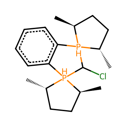 C[C@H]1CC[C@H](C)[PH]12c1ccccc1[PH]1(C2Cl)[C@@H](C)CC[C@@H]1C